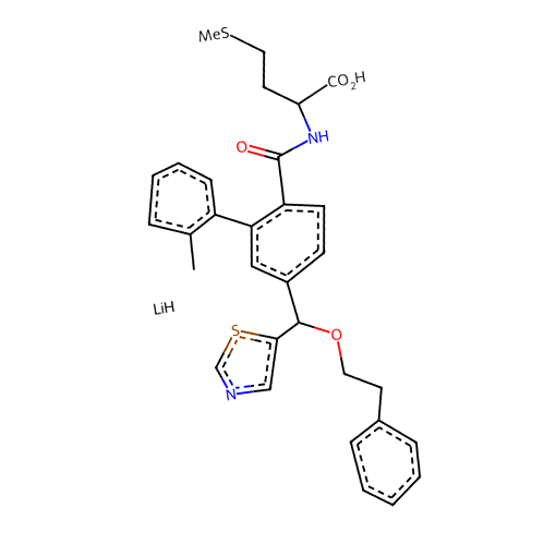 CSCCC(NC(=O)c1ccc(C(OCCc2ccccc2)c2cncs2)cc1-c1ccccc1C)C(=O)O.[LiH]